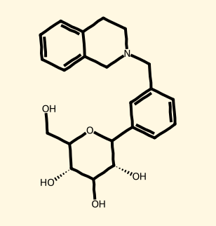 OCC1OC(c2cccc(CN3CCc4ccccc4C3)c2)[C@H](O)C(O)[C@@H]1O